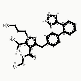 CCCCn1nc(Cc2ccc(-c3ccccc3-c3nn[nH]n3)cc2)c(C(=O)OCC)c1C(C)C